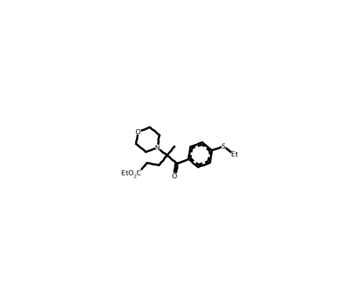 CCOC(=O)CCC(C)(C(=O)c1ccc(SCC)cc1)N1CCOCC1